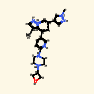 Cn1cc(-c2cc(-c3ccc(N4CCN(C5COC5)CC4)nc3)c3c(C#N)cnn3c2)cn1